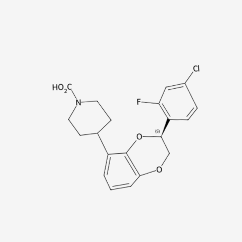 O=C(O)N1CCC(c2cccc3c2O[C@@H](c2ccc(Cl)cc2F)CO3)CC1